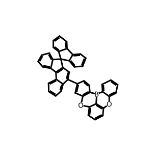 c1ccc2c(c1)Oc1cccc3c1B2c1ccc(-c2cc4c(c5ccccc25)-c2ccccc2C42c4ccccc4-c4ccccc42)cc1O3